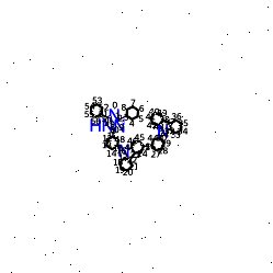 CN1C(c2ccccc2)N=C(c2cccc(-n3c4ccccc4c4cc(-c5cccc(-n6c7ccccc7c7ccccc76)c5)ccc43)c2)NC1c1ccccc1